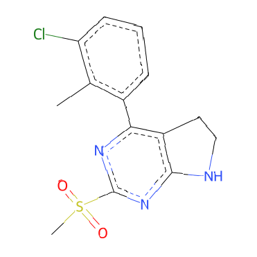 Cc1c(Cl)cccc1-c1nc(S(C)(=O)=O)nc2c1CCN2